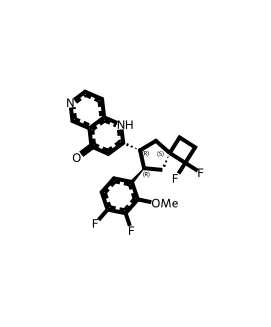 COc1c([C@@H]2C[C@@]3(CCC3(F)F)C[C@H]2c2cc(=O)c3cnccc3[nH]2)ccc(F)c1F